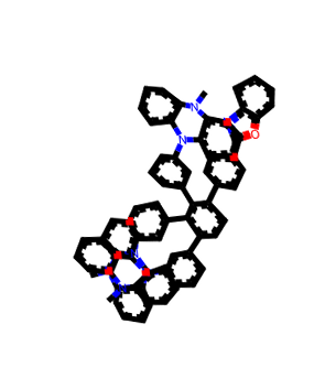 CN1c2ccccc2N(c2cccc(-c3ccc(-c4ccc(-c5nc6ccccc6o5)cc4)c(-c4cccc(N5c6ccccc6N(C)c6ccccc65)c4)c3-c3cccc(N4c5ccccc5N(C)c5ccccc54)c3)c2)c2ccccc21